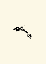 Cc1ccc([S+]([O-])NCCCn2ccnc2)cc1